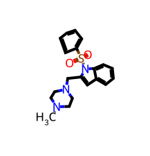 CN1CCN(Cc2cc3ccccc3n2S(=O)(=O)c2ccccc2)CC1